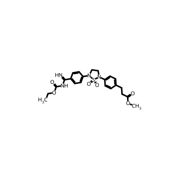 CCOC(=O)NC(=N)c1ccc(N2CCN(c3ccc(CCC(=O)OC)cc3)S2(=O)=O)cc1